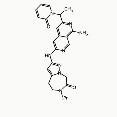 CC(C)N1CCc2cc(Nc3cc4cc(C(C)n5ccccc5=O)nc(N)c4cn3)nn2CC1=O